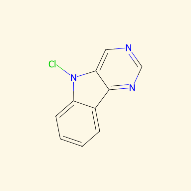 Cln1c2ccccc2c2ncncc21